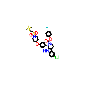 CS(C)(C)CCS(=O)(=O)N1CCC(Oc2ccc([C@H]3c4[nH]c5ccc(Cl)cc5c4CCN3C(=O)Oc3ccc(F)cc3)cc2)CC1